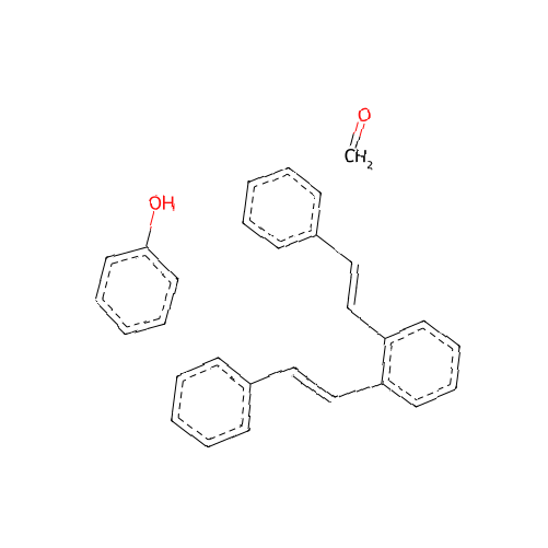 C(=Cc1ccccc1C=Cc1ccccc1)c1ccccc1.C=O.Oc1ccccc1